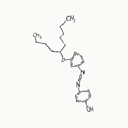 CCCCCC(CCCC)Oc1cccc(N=Nc2ccc(O)cc2)c1